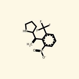 C=C(c1c([N+](=O)[O-])cccc1C(F)(F)F)C1CCCN1